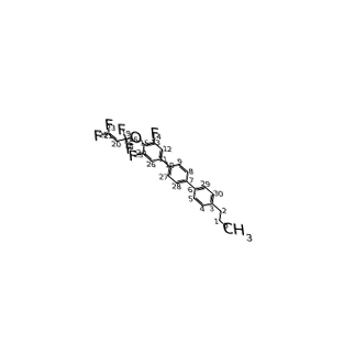 CCCc1ccc(-c2ccc(-c3cc(F)c(OC(F)(F)C=C(F)F)c(F)c3)cc2)cc1